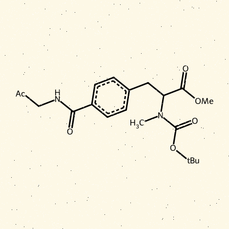 COC(=O)C(Cc1ccc(C(=O)NCC(C)=O)cc1)N(C)C(=O)OC(C)(C)C